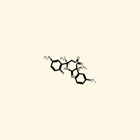 C[C@@]1(c2cccc(C(F)(F)F)c2)C(=N)N[C@](C)(c2cc([N+](=O)[O-])ccc2F)CS1(=O)=O